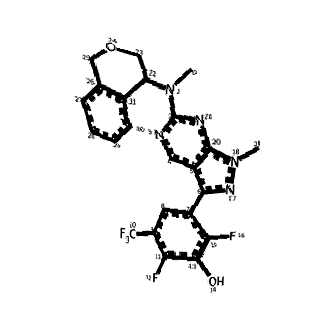 CN(c1ncc2c(-c3cc(C(F)(F)F)c(F)c(O)c3F)nn(C)c2n1)C1COCc2ccccc21